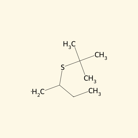 [CH2]C(CC)SC(C)(C)C